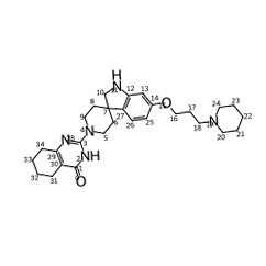 O=c1[nH]c(N2CCC3(CC2)CNc2cc(OCCCN4CCCCC4)ccc23)nc2c1CCCC2